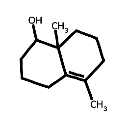 CC1=C2CCCC(O)C2(C)CCC1